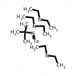 CC(C)(C)[N]=[Ta].CC[N-]CC.CC[N-]CC.CC[N-]CC